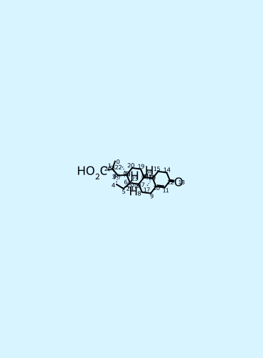 C[C@H](C(=O)O)[C@H]1CC[C@H]2[C@@H]3CCC4=CC(=O)CC[C@]4(C)[C@H]3CC[C@]12C